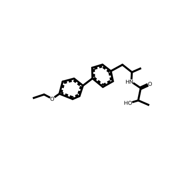 CCOc1ccc(-c2ccc(CC(C)NC(=O)C(C)O)cc2)cc1